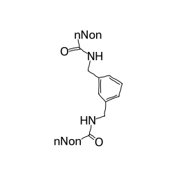 CCCCCCCCCC(=O)NCc1cccc(CNC(=O)CCCCCCCCC)c1